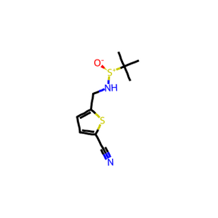 CC(C)(C)[S@+]([O-])NCc1ccc(C#N)s1